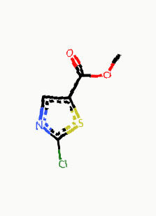 COC(=O)c1cnc(Cl)s1